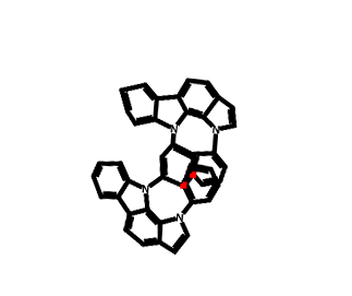 c1ccc(-n2ccc3ccc4c5ccccc5n(-c5ccnc(-n6c7ccccc7c7ccc8ccn(-c9ccccc9)c8c76)c5)c4c32)cc1